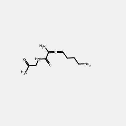 CC(=O)CNC(=O)C(N)=C=CCCCN